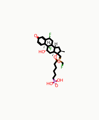 C[C@@H]1C[C@H]2[C@@H]3C[C@H](F)C4=CC(=O)C=C[C@]4(C)[C@@]3(F)[C@@H](O)C[C@]2(C)[C@]1(C=[SH]CF)OC(=O)CCCCCP(=O)(O)O